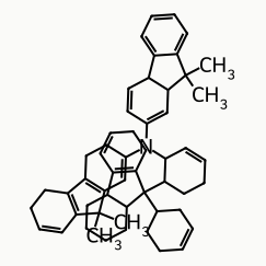 CC1(C)C2=C(CCC=C2)C2=C1C=C(N(C1=CC3C(C=C1)c1ccccc1C3(C)C)C1C=CCCC1C1(C3CC=CCC3)C3=C(C=CCC3)C3CCCCC31)CC2